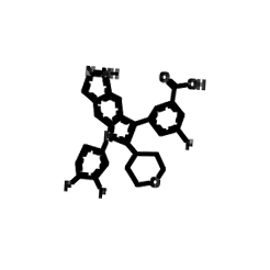 O=C(O)c1cc(F)cc(-c2c(C3CCOCC3)n(-c3ccc(F)c(F)c3)c3cc4cn[nH]c4cc23)c1